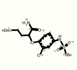 CCCCCCCCCCCCC(Oc1ccc(NS(=O)(=O)CCCC)cc1Cl)C(N)=O